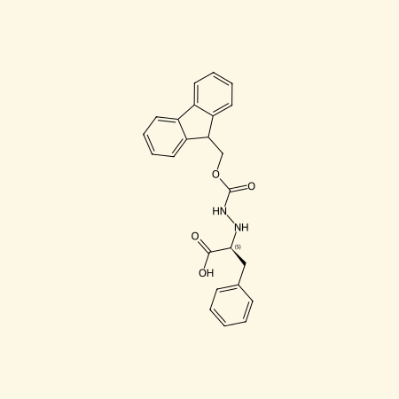 O=C(NN[C@@H](Cc1ccccc1)C(=O)O)OCC1c2ccccc2-c2ccccc21